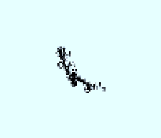 CCONCCC(=O)NCCSC1CC(=O)N(CCCCCC(N)=O)C1=O